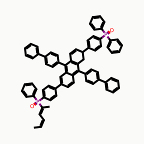 C/C=C\C=C(/C)P(=O)(c1ccccc1)c1ccc(-c2ccc3c(-c4ccc(-c5ccccc5)cc4)c4c(c(-c5ccc(-c6ccccc6)cc5)c3c2)C=CC(c2ccc(P(=O)(c3ccccc3)c3ccccc3)cc2)C4)cc1